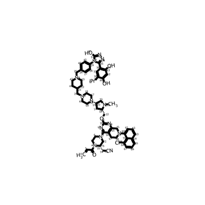 C=CC(=O)N1CCN(c2nc(OC[C@@H]3C[C@H](N4CCN(CC5CCN(Cc6ccc(-n7c(O)nnc7-c7cc(C(C)C)c(O)cc7O)cc6)CC5)CC4)CN3C)nc3c2CCN(c2cccc4cccc(Cl)c24)C3)C[C@@H]1CC#N